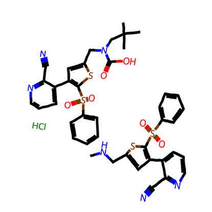 CC(C)(C)CN(Cc1cc(-c2cccnc2C#N)c(S(=O)(=O)c2ccccc2)s1)C(=O)O.CNCc1cc(-c2cccnc2C#N)c(S(=O)(=O)c2ccccc2)s1.Cl